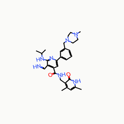 Cc1cc(C)c(CNC(=O)c2cc(-c3cccc(CN4CCN(C)CC4)c3)nc(NC(C)C)c2C=N)c(=O)[nH]1